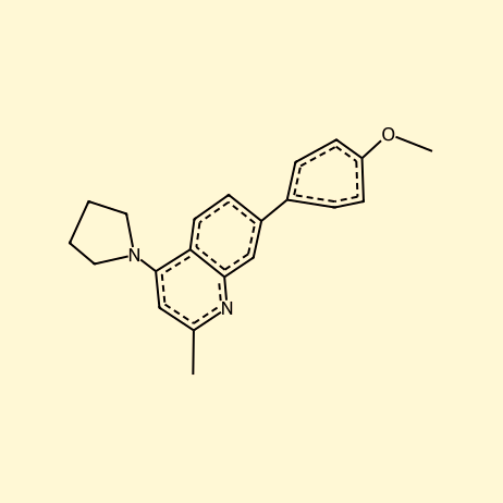 COc1ccc(-c2ccc3c(N4CCCC4)cc(C)nc3c2)cc1